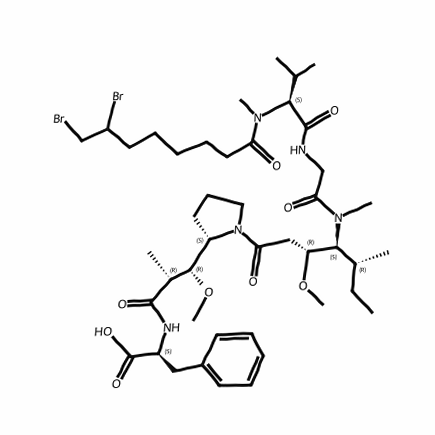 CC[C@@H](C)[C@@H]([C@@H](CC(=O)N1CCC[C@H]1[C@H](OC)[C@@H](C)C(=O)N[C@@H](Cc1ccccc1)C(=O)O)OC)N(C)C(=O)CNC(=O)[C@H](C(C)C)N(C)C(=O)CCCCCC(Br)CBr